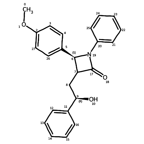 COc1ccc([C@@H]2C(C[C@@H](O)c3ccccc3)C(=O)N2c2ccccc2)cc1